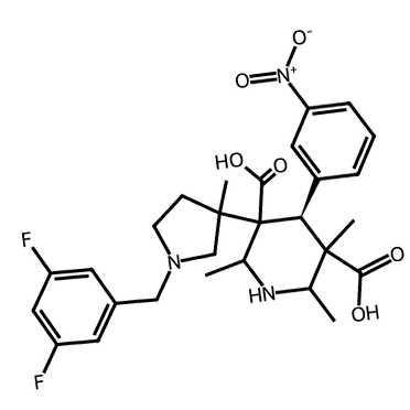 CC1NC(C)C(C(=O)O)(C2(C)CCN(Cc3cc(F)cc(F)c3)C2)[C@@H](c2cccc([N+](=O)[O-])c2)C1(C)C(=O)O